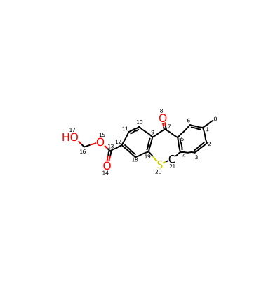 Cc1ccc2c(c1)C(=O)c1ccc(C(=O)OCO)cc1SC2